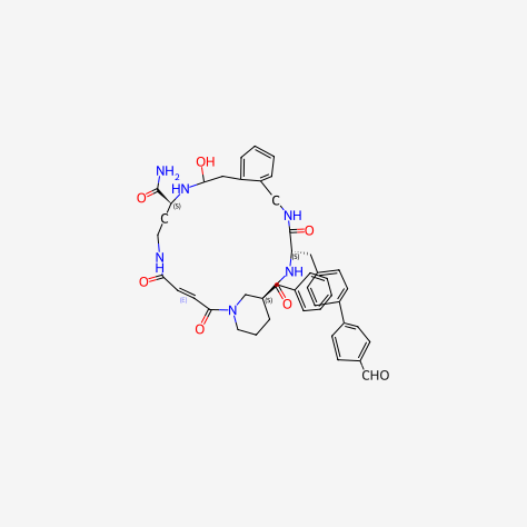 NC(=O)[C@@H]1CCNC(=O)/C=C/C(=O)N2CCC[C@](Cc3ccccc3)(C2)C(=O)N[C@@H](Cc2ccc(-c3ccc(C=O)cc3)cc2)C(=O)NCc2ccccc2CC(O)N1